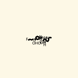 C=Cc1ccc2[nH]cc(Nc3nc4ccc(OC=CCCF)cc4n3C)c2n1.O=CO